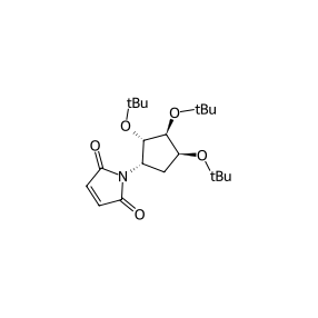 CC(C)(C)O[C@@H]1[C@@H](OC(C)(C)C)[C@@H](N2C(=O)C=CC2=O)C[C@@H]1OC(C)(C)C